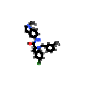 Cn1ccc2cc(NC(=O)c3cc4cc(Cl)ccc4n3Cc3cccc(C(F)(F)F)c3)ccc21